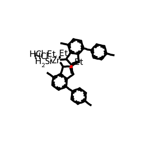 CCC1=Cc2c(-c3ccc(C)cc3)ccc(C)c2[CH]1[Zr](=[SiH2])([CH2]C)([CH2]C)[CH]1C(C)=Cc2c(-c3ccc(C)cc3)ccc(C)c21.Cl.Cl